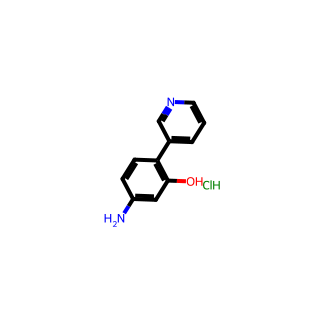 Cl.Nc1ccc(-c2cccnc2)c(O)c1